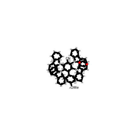 COc1ccc(-c2c(-n3c4ccccc4c4ccccc43)c(-n3c4ccccc4c4ccccc43)c(C#N)c(-n3c4ccccc4c4ccccc43)c2-n2c3ccccc3c3ccccc32)cc1